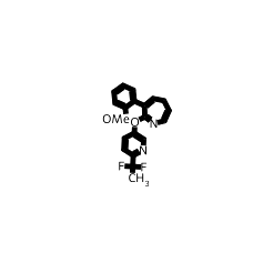 COc1ccccc1C1=CCC=CN=C1Oc1ccc(C(C)(F)F)nc1